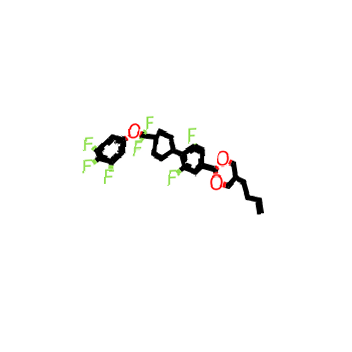 C=CCCC1COC(c2cc(F)c(C3CCC(C(F)(F)Oc4cc(F)c(F)c(F)c4)CC3)c(F)c2)OC1